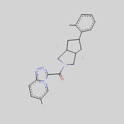 Cc1ccc2nnc(C(=O)N3C[C@H]4CC(c5ccccc5C(F)(F)F)C[C@H]4C3)n2c1